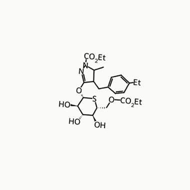 CCOC(=O)OC[C@H]1S[C@@H](OC2=NN(C(=O)OCC)C(C)C2Cc2ccc(CC)cc2)[C@H](O)[C@@H](O)[C@@H]1O